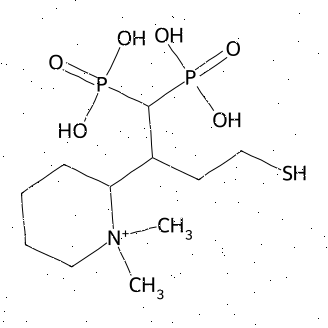 C[N+]1(C)CCCCC1C(CCS)C(P(=O)(O)O)P(=O)(O)O